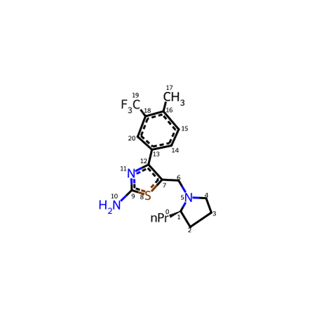 CCC[C@@H]1CCCN1Cc1sc(N)nc1-c1ccc(C)c(C(F)(F)F)c1